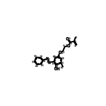 C=C(C)C(=O)OCCOc1cc(C)c(O)c(N=Nc2ccccc2)c1